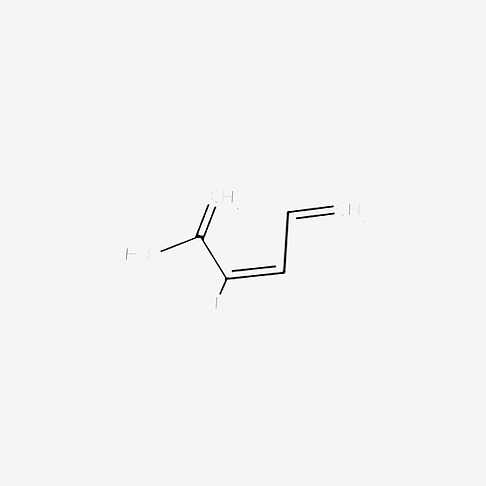 C=C/C=C(/I)C(=C)C